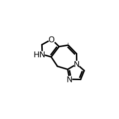 [C]1=Cn2ccnc2CC2=C1OCN2